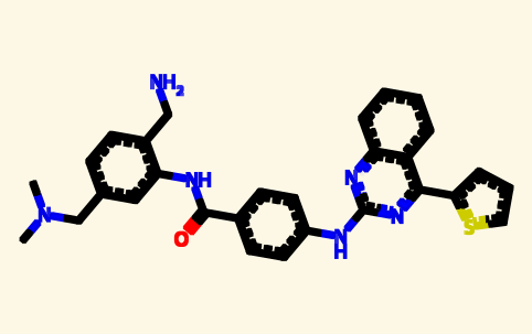 CN(C)Cc1ccc(CN)c(NC(=O)c2ccc(Nc3nc(-c4cccs4)c4ccccc4n3)cc2)c1